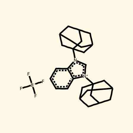 F[B-](F)(F)F.c1ccc2c(c1)n(C13CC4CC(CC(C4)C1)C3)c[n+]2C12CC3CC(CC(C3)C1)C2